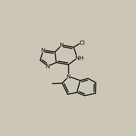 Cc1cc2ccccc2n1-c1[nH]c(Cl)nc2ncnc1-2